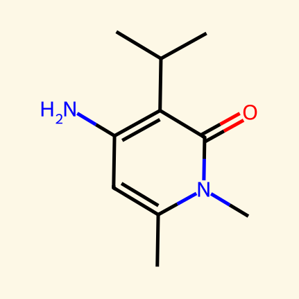 Cc1cc(N)c(C(C)C)c(=O)n1C